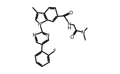 Cc1cn(-c2ncc(-c3ccccc3F)cn2)c2cc(C(=O)NCC(=O)N(C)C)ccc12